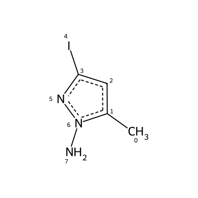 Cc1cc(I)nn1N